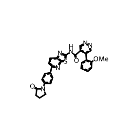 COc1ccccc1-c1cnncc1C(=O)Nc1nc2ccc(-c3ccc(N4CCCC4=O)cc3)nc2s1